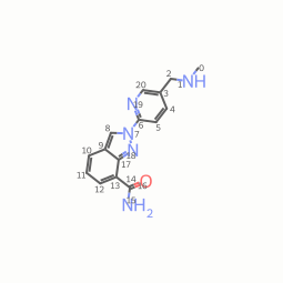 CNCc1ccc(-n2cc3cccc(C(N)=O)c3n2)nc1